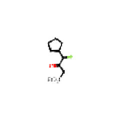 CCOC(=O)CC(=O)C(F)C1CCCC1